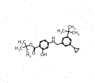 CC(C)(C)OC(=O)c1ccc(NCc2cc(C3CC3)cc(C(C)(C)C)c2)cc1O